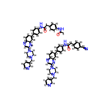 CC(=O)Nc1ccc(CC(=O)Nc2ccc(-c3ccc4ncc(N5CCN(Cc6cccnc6)CC5)nc4c3)cc2)cc1.N#Cc1ccc(CC(=O)Nc2ccc(-c3ccc4ncc(N5CCN(Cc6cccnc6)CC5)nc4c3)cc2)cc1